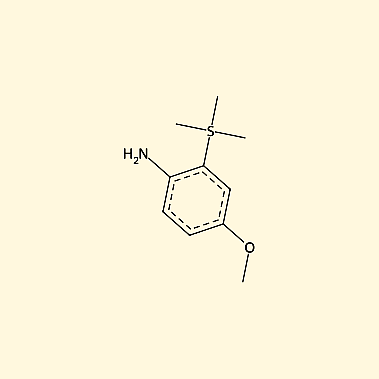 COc1ccc(N)c(S(C)(C)C)c1